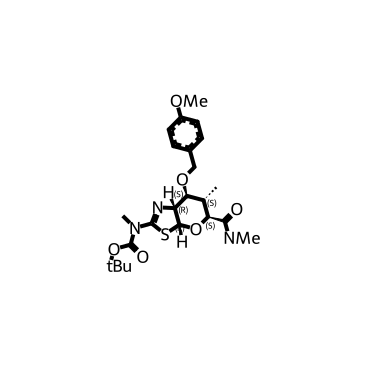 CNC(=O)[C@H]1O[C@@H]2SC(N(C)C(=O)OC(C)(C)C)=N[C@@H]2[C@@H](OCc2ccc(OC)cc2)[C@@H]1C